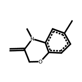 C=C1COc2ccc(C)cc2N1C